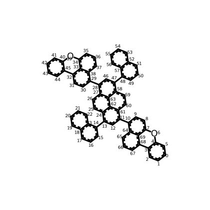 c1ccc2c(c1)Oc1ccc(-c3cc(-c4cccc5ccccc45)c4ccc5c(-c6ccc7c8c(cccc68)Oc6ccccc6-7)cc(-c6cccc7ccccc67)c6ccc3c4c65)c3cccc-2c13